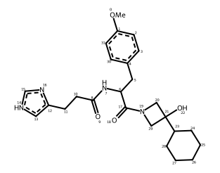 COc1ccc(CC(NC(=O)CCc2c[nH]cn2)C(=O)N2CC(O)(C3CCCCC3)C2)cc1